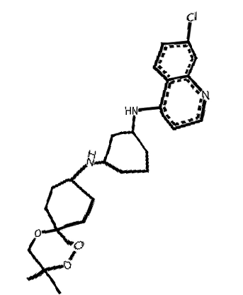 CC1(C)COC2(CCC(NC3CCCC(Nc4ccnc5cc(Cl)ccc45)C3)CC2)OO1